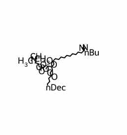 CCCCCCCCCCCCCC(=O)OCC(COP(=O)([O-])OCC[N+](C)(C)C)OC(=O)CCCCCCCCCCC1(CCCC)N=N1